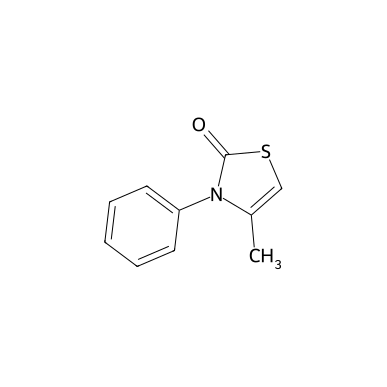 Cc1csc(=O)n1-c1ccccc1